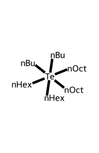 CCCCCCCC[Te](CCCC)(CCCC)(CCCCCC)(CCCCCC)CCCCCCCC